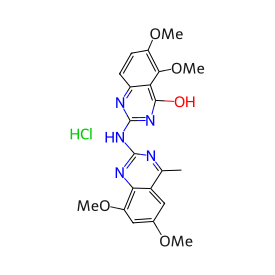 COc1cc(OC)c2nc(Nc3nc(O)c4c(OC)c(OC)ccc4n3)nc(C)c2c1.Cl